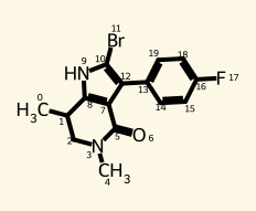 CC1CN(C)C(=O)c2c1[nH]c(Br)c2-c1ccc(F)cc1